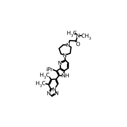 Cc1c(-c2[nH]c3ccc(N4CCCN(CC(=O)N(C)C)CC4)nc3c2C(C)C)cn2ncnc2c1C